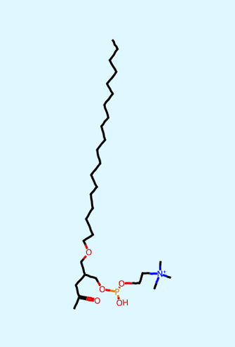 CCCCCCCCCCCCCCCCCCCOCC(COP(O)OCC[N+](C)(C)C)CC(C)=O